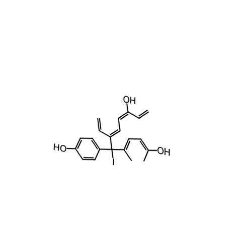 C=C/C(O)=C\C=C(/C=C)C(I)(/C(C)=C/C=C(\C)O)c1ccc(O)cc1